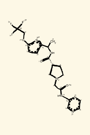 CC(NC(=O)[C@@H]1CCN(CC(=O)Nc2cnccn2)C1)c1ccc(OCC(F)(F)F)s1